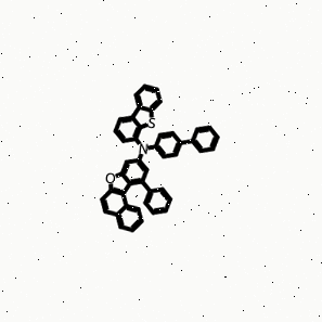 c1ccc(-c2ccc(N(c3cc(-c4ccccc4)c4c(c3)oc3ccc5ccccc5c34)c3cccc4c3sc3ccccc34)cc2)cc1